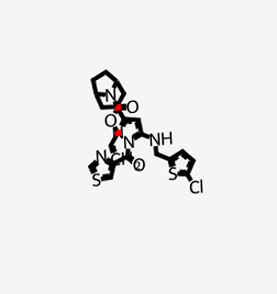 C=CCOC(=O)N1C2CCC1CC(c1cc(NCc3ccc(Cl)s3)n(C(=O)c3cscn3)n1)C2